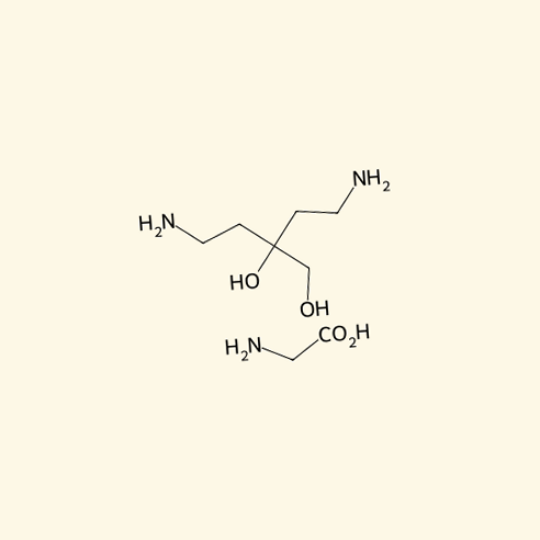 NCC(=O)O.NCCC(O)(CO)CCN